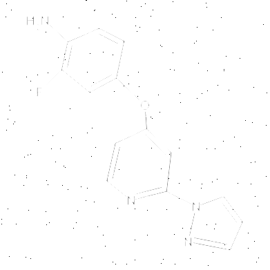 Nc1ccc(Oc2ccnc(-n3cccn3)c2)cc1F